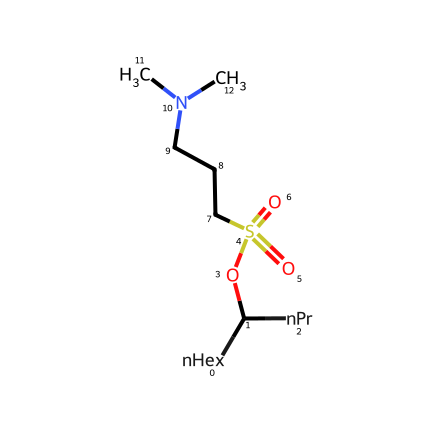 CCCCCCC(CCC)OS(=O)(=O)CCCN(C)C